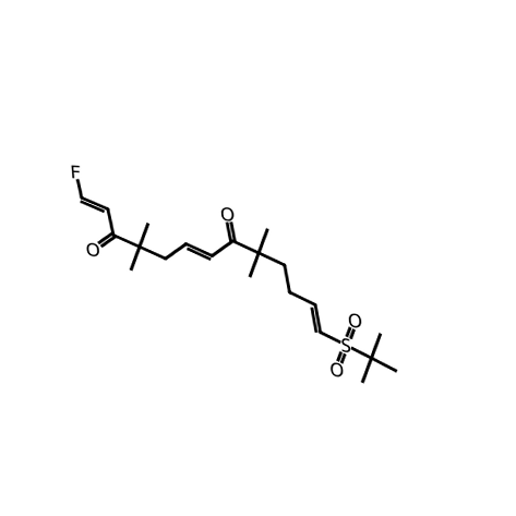 CC(C)(C/C=C/C(=O)C(C)(C)CC/C=C/S(=O)(=O)C(C)(C)C)C(=O)/C=C/F